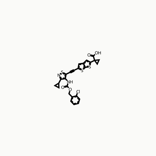 O=C(Nc1c(C2CC2)nsc1C#Cc1cc2cc(C3(C(=O)O)CC3)sc2s1)OCc1ccccc1Cl